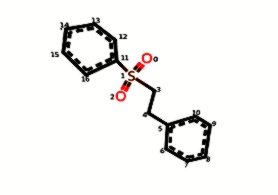 O=S(=O)(CCc1ccccc1)c1cc[c]cc1